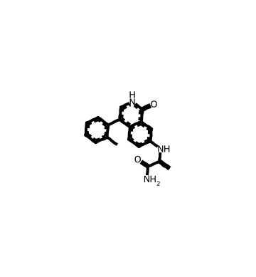 C=C(Nc1ccc2c(-c3ccccc3C)c[nH]c(=O)c2c1)C(N)=O